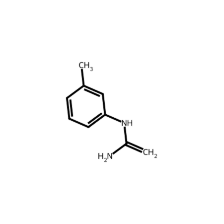 C=C(N)Nc1cccc(C)c1